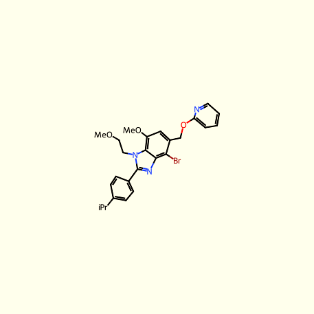 COCCn1c(-c2ccc(C(C)C)cc2)nc2c(Br)c(COc3ccccn3)cc(OC)c21